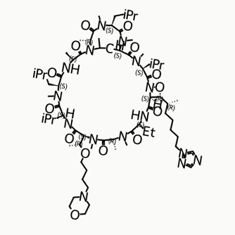 CC[C@@H]1NC(=O)[C@@H]2[C@@H]([C@H](C)CCCCCn3cncn3)ON2C(=O)[C@H](C(C)C)N(C)C(=O)[C@@H]2CC(C)N(C(=O)[C@H](C)NC(=O)[C@H](CC(C)C)N(C)C(=O)[C@H](C(C)C)NC(=O)[C@H]([C@@H](C)OCCCCN3CCOCC3)N(C)C(=O)[C@@H](C)N(C)C1=O)[C@H](C)C(=O)N(C)[C@@H](CC(C)C)C(=O)N2C